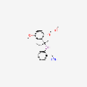 CCC(C)(Pc1ccccc1CNC)c1cc(OC)ccc1OCOC